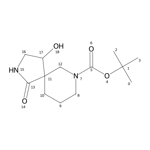 CC(C)(C)OC(=O)N1CCCC2(C1)C(=O)NCC2O